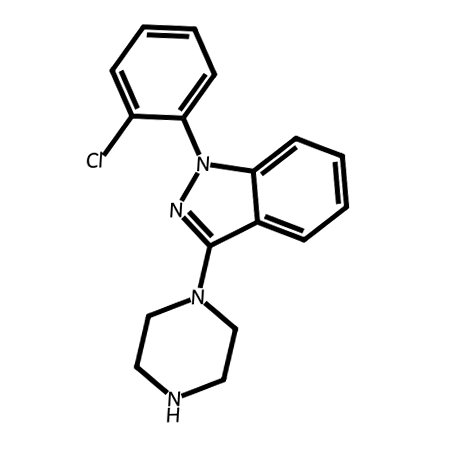 Clc1ccccc1-n1nc(N2CCNCC2)c2ccccc21